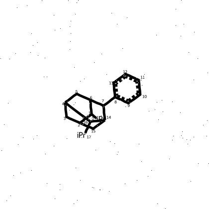 CC(C)C1C2CC3CC1C(c1cc[c]cc1)C(C2)C3C(C)C